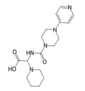 O=C(O)C(NC(=O)N1CCN(c2ccncc2)CC1)N1CCCCC1